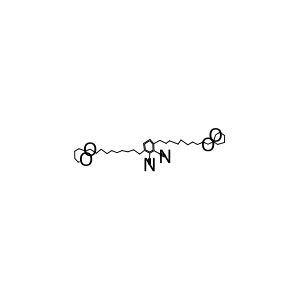 N#Cc1c(CCCCCCCCCOC2CCCCO2)ccc(CCCCCCCCCOC2CCCCO2)c1C#N